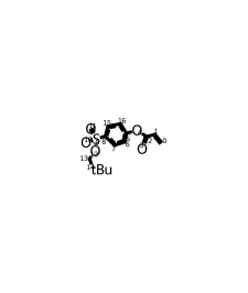 C=CC(=O)Oc1ccc(S(=O)(=O)OCC(C)(C)C)cc1